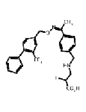 CC(=NOCc1ccc(-c2ccccc2)c(C(F)(F)F)c1)c1ccc(CNCC(F)C(=O)O)cc1